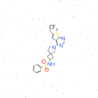 O=S(=O)(NC1CC2(CCN(c3ncnc4sc(CC(F)(F)F)cc34)C2)C1)c1ccccc1